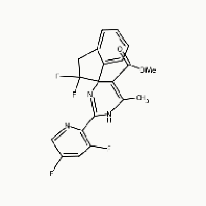 COC(=O)C1=C(C)NC(c2ncc(F)cc2F)=NC12c1ccccc1CC2(F)F